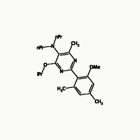 CCCN(CCC)c1c(C)nc(-c2c(C)cc(C)cc2OC)nc1OC(C)C